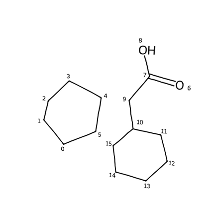 C1CCCCC1.O=C(O)CC1CCCCC1